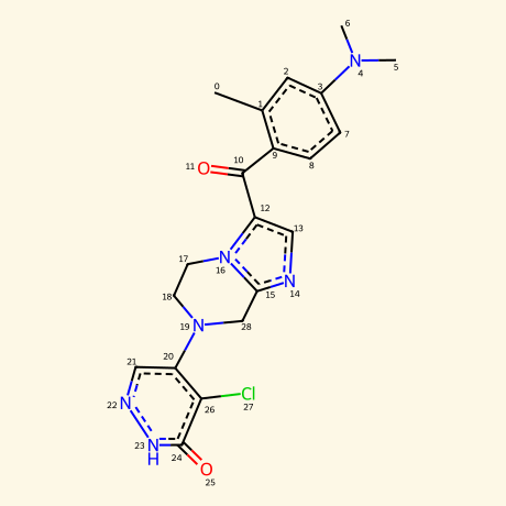 Cc1cc(N(C)C)ccc1C(=O)c1cnc2n1CCN(c1cn[nH]c(=O)c1Cl)C2